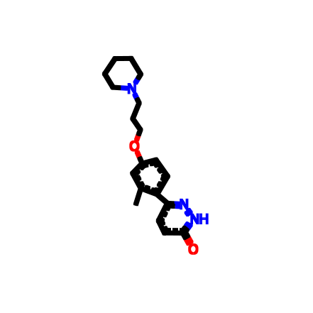 Cc1cc(OCCCN2CCCCC2)ccc1-c1ccc(=O)[nH]n1